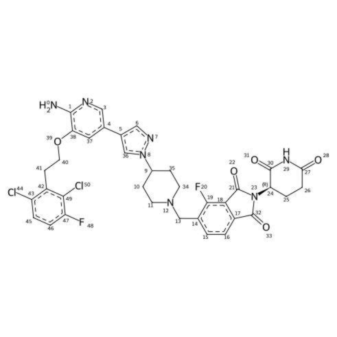 Nc1ncc(-c2cnn(C3CCN(Cc4ccc5c(c4F)C(=O)N([C@@H]4CCC(=O)NC4=O)C5=O)CC3)c2)cc1OCCc1c(Cl)ccc(F)c1Cl